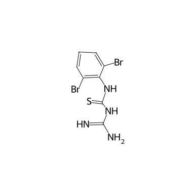 N=C(N)NC(=S)Nc1c(Br)cccc1Br